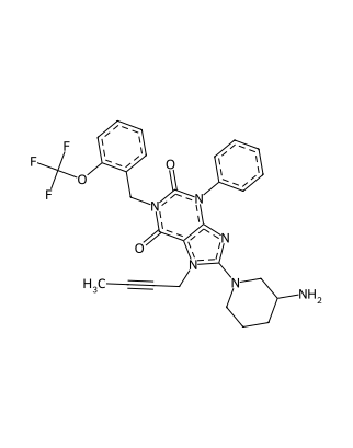 CC#CCn1c(N2CCCC(N)C2)nc2c1c(=O)n(Cc1ccccc1OC(F)(F)F)c(=O)n2-c1ccccc1